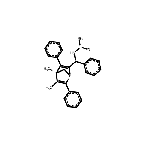 CC1=C(c2ccccc2)[P@@]2C[C@]1(C)C(c1ccccc1)=C2[C@@H](N[S+]([O-])C(C)(C)C)c1ccccc1